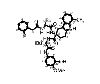 CCC(C)[C@H](NC(=O)Cc1ccccc1F)C(=O)N[C@]1(C(=O)N[C@H](C(=S)Nc2ccc(OC)c(O)c2)C(C)CC)CCc2[nH]c3c(C(F)(F)F)cccc3c2C1